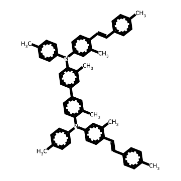 Cc1ccc(C=Cc2ccc(N(c3ccc(C)cc3)c3ccc(-c4ccc(N(c5ccc(C)cc5)c5ccc(C=Cc6ccc(C)cc6)c(C)c5)c(C)c4)cc3C)cc2C)cc1